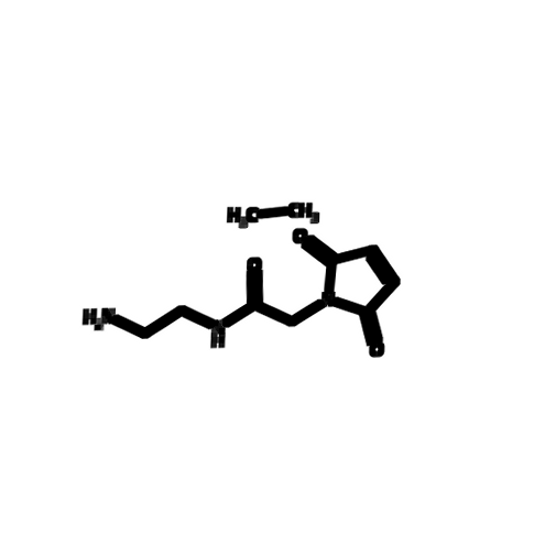 CC.NCCNC(=O)CN1C(=O)C=CC1=O